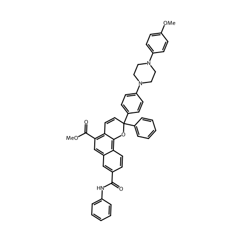 COC(=O)c1cc2cc(C(=O)Nc3ccccc3)ccc2c2c1C=CC(c1ccccc1)(c1ccc(N3CCN(c4ccc(OC)cc4)CC3)cc1)O2